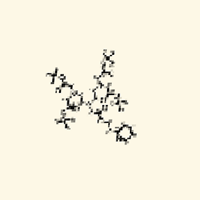 CC(C)(C)OC(=O)CN(CCN(CCN(CC(=O)OC(C)(C)C)CC(=O)OC(C)(C)C)CC(=O)OCCc1ccccn1)CC(=O)OC(C)(C)C